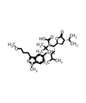 COCCCc1nn(C)c2ccc(C[C@H](C[C@@H]([C@@H]3C[C@@H](C(C)C)C(=O)O3)N(C(=O)O)C(C)(C)C)C(C)C)cc12